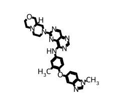 Cc1cc(Nc2ncnc3cnc(N4CCN5CCOC[C@H]5C4)nc23)ccc1Oc1ccc2c(c1)ncn2C